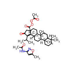 CC(=O)Nc1cc(C)on1.CC(=O)OOC(=O)[C@@]12CC[C@]3(C)[C@H](CC[C@@H]4[C@@]5(C)CCCC(C)(C)[C@@H]5CC[C@]43C)C1=C(C(C)C)C(=O)C2